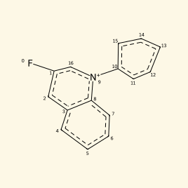 Fc1cc2ccccc2[n+](-c2ccccc2)c1